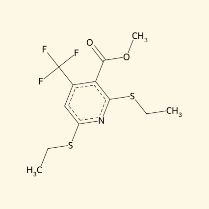 CCSc1cc(C(F)(F)F)c(C(=O)OC)c(SCC)n1